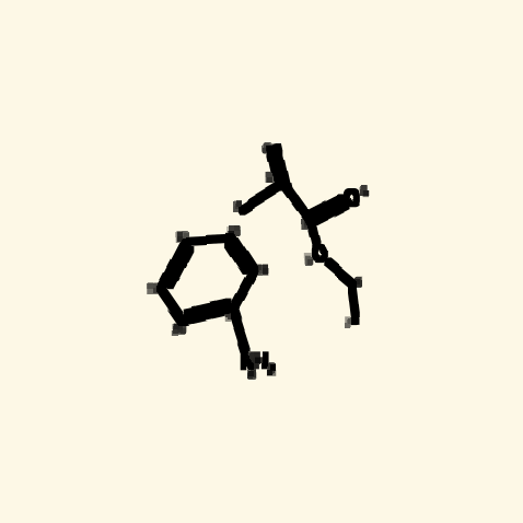 C=C(C)C(=O)OCC.Nc1ccccc1